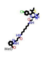 COC(=O)c1cccc2nc(CCC(=O)NCCCCCCCCNC(=O)C[C@@H]3N=C(c4ccc(Cl)cc4)c4c(sc(C)c4C)-n4c(C)nnc43)[nH]c12